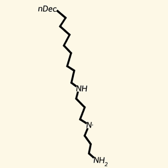 CCCCCCCCCCCCCCCCCCNCCC[N]CCCN